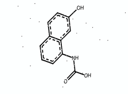 O=C(O)Nc1cccc2ccc(O)cc12